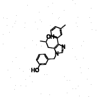 Cc1cccc(-c2ncn(Cc3cccc(O)c3)c2CC(C)O)c1